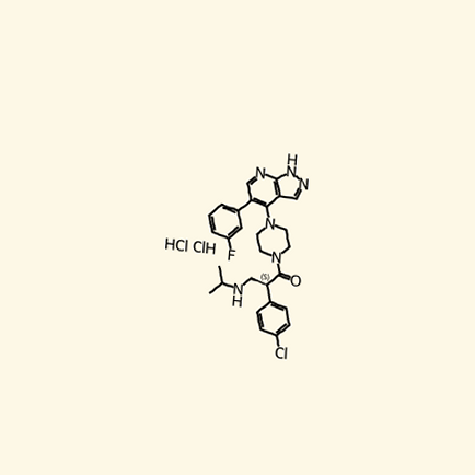 CC(C)NC[C@@H](C(=O)N1CCN(c2c(-c3cccc(F)c3)cnc3[nH]ncc23)CC1)c1ccc(Cl)cc1.Cl.Cl